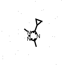 Cc1nc(C2CC2)n(C)n1